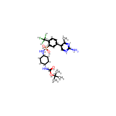 Cc1nc(N)ncc1-c1ccc(C(F)(F)F)c(S(=O)(=O)N[C@H]2CC[C@H](NC(=O)OC(C)(C)C)CC2)c1